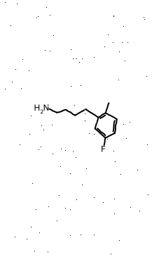 Cc1ccc(F)cc1CCCCN